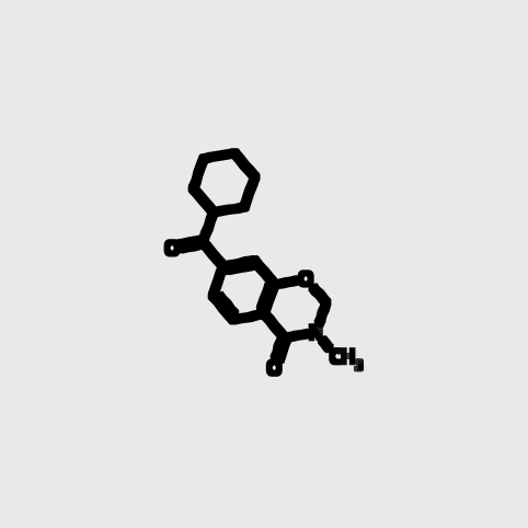 CN1COc2cc(C(=O)C3CCCCC3)ccc2C1=O